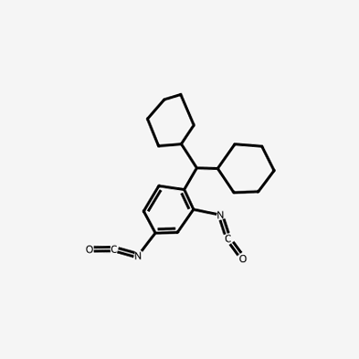 O=C=Nc1ccc(C(C2CCCCC2)C2CCCCC2)c(N=C=O)c1